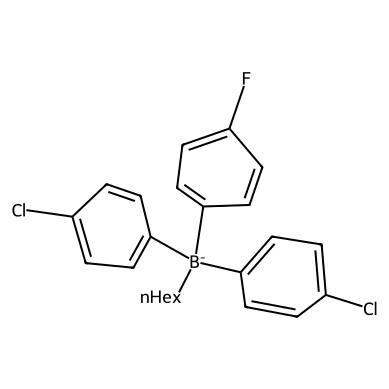 CCCCCC[B-](c1ccc(F)cc1)(c1ccc(Cl)cc1)c1ccc(Cl)cc1